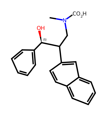 CN(CC(c1ccc2ccccc2c1)[C@H](O)c1ccccc1)C(=O)O